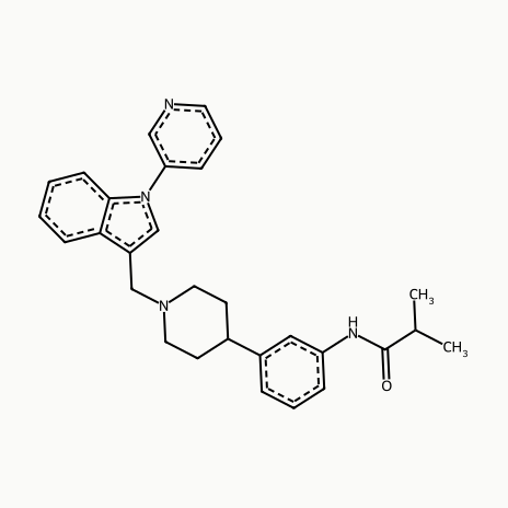 CC(C)C(=O)Nc1cccc(C2CCN(Cc3cn(-c4cccnc4)c4ccccc34)CC2)c1